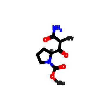 CC(C)C(C(N)=O)C(=O)[C@@H]1CCCN1C(=O)OC(C)(C)C